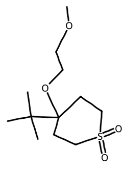 COCCOC1(C(C)(C)C)CCS(=O)(=O)CC1